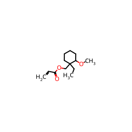 C=CC(=O)OCC1(CC)CCCCC1OC